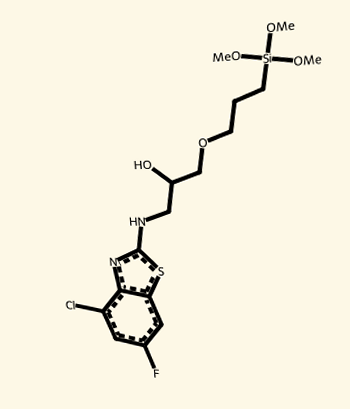 CO[Si](CCCOCC(O)CNc1nc2c(Cl)cc(F)cc2s1)(OC)OC